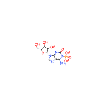 Nc1c2ncn([C@@H]3O[C@H](CO)[C@@H](O)[C@H]3O)c2nc(=O)n1P(=O)(O)O